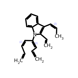 C=C/C=C\C(=C/C=C)n1c(C=C)c(/C=C\C)c2ccccc21